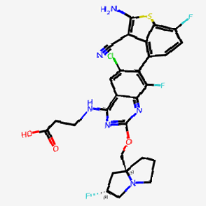 N#Cc1c(N)sc2c(F)ccc(-c3c(Cl)cc4c(NCCC(=O)O)nc(OC[C@@]56CCCN5C[C@H](F)C6)nc4c3F)c12